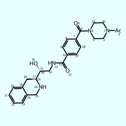 CC(=O)N1CCN(C(=O)c2ccc(C(=O)NC[C@@H](O)[C@@H]3Cc4ccccc4CN3)cc2)CC1